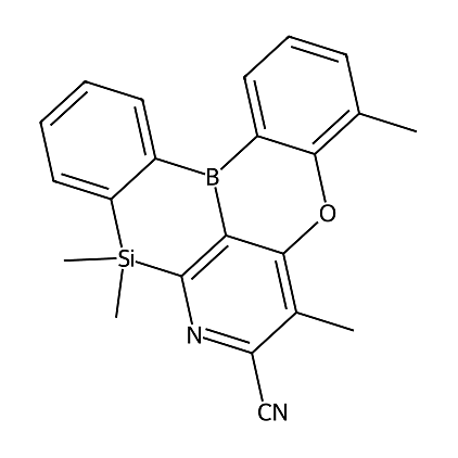 Cc1cccc2c1Oc1c(C)c(C#N)nc3c1B2c1ccccc1[Si]3(C)C